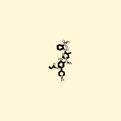 C=CC(=O)Nc1cc(Nc2ncc(C)c(Nc3ccccc3S(=O)(=O)C(C)C)n2)c(OC(C)C)cc1C1CCN(CC)CC1